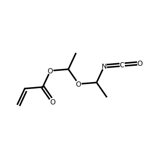 C=CC(=O)OC(C)OC(C)N=C=O